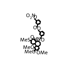 COc1cc2c(c(OC)c1OC)-c1ccc(SC)c(=O)cc1[C@@H](NC(=O)c1cccc(COC(=O)c3cccc(CO[N+](=O)[O-])c3)c1)CC2